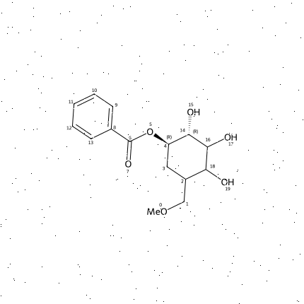 COCC1C[C@@H](OC(=O)c2ccccc2)[C@H](O)C(O)C1O